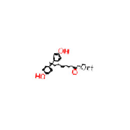 CCCCCCCCC(=O)CCCCCCC(C)(c1ccc(O)cc1)c1ccc(O)cc1